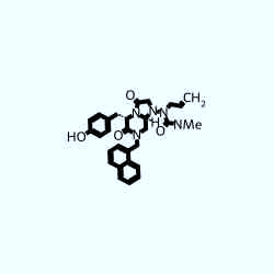 C=CCN(C(=O)NC)N1CC(=O)N2[C@@H](Cc3ccc(O)cc3)C(=O)N(Cc3cccc4ccccc34)C[C@@H]21